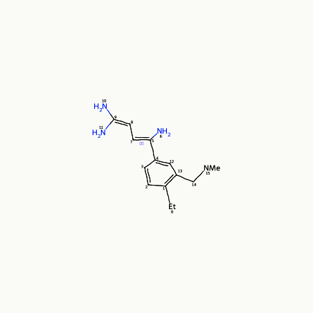 CCc1ccc(/C(N)=C/C=C(N)N)cc1CNC